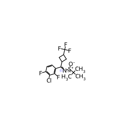 CC(C)(C)[S@@+]([O-])/N=C(/c1ccc(F)c(Cl)c1F)C1CC(C(F)(F)F)C1